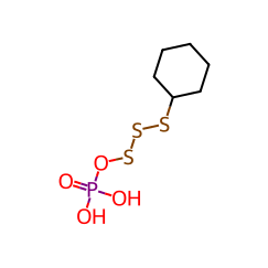 O=P(O)(O)OSSSC1CCCCC1